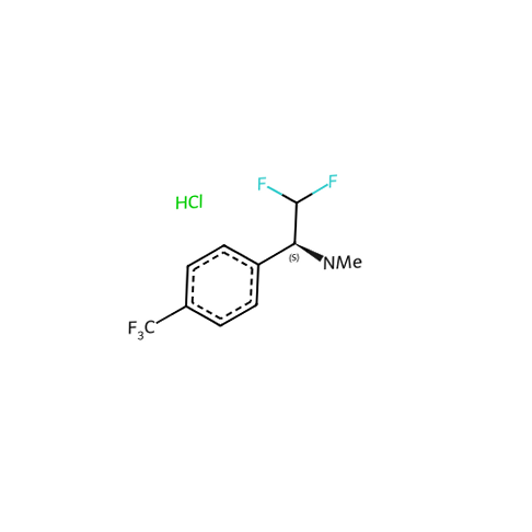 CN[C@@H](c1ccc(C(F)(F)F)cc1)C(F)F.Cl